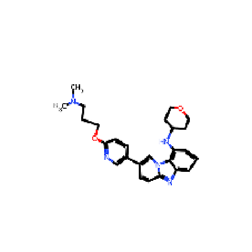 CN(C)CCCOc1ccc(-c2ccc3nc4cccc(NC5CCOCC5)c4n3c2)cn1